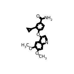 COc1cc2nccc(Oc3ccc(C(N)=O)cc3C3CC3)c2cc1OC